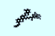 CC(C)(C)OC(=O)NCCCC[C@@H](NC(=O)c1cccc(N=[N+]=N)c1)C(=O)COc1c(F)cccc1F